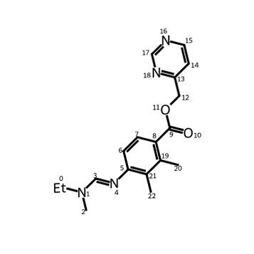 CCN(C)/C=N/c1ccc(C(=O)OCc2ccncn2)c(C)c1C